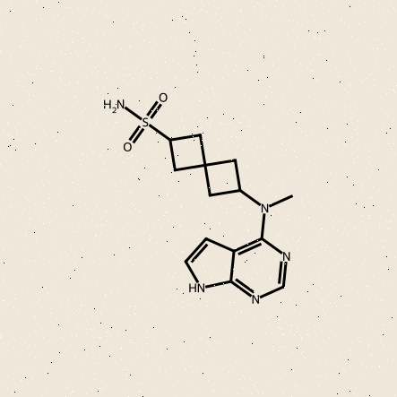 CN(c1ncnc2[nH]ccc12)C1CC2(C1)CC(S(N)(=O)=O)C2